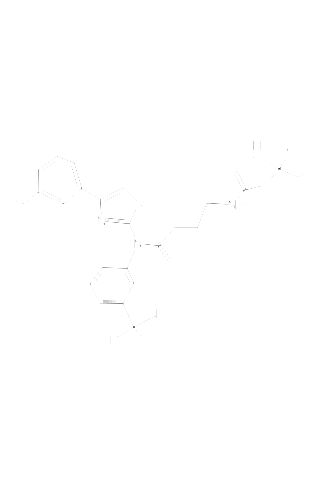 CC(C)(C)OC(=O)NCCCC(=O)N(c1cccc(C(F)(F)F)c1)c1nc(-c2cccc(Cl)c2)cs1